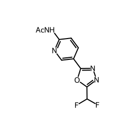 CC(=O)Nc1ccc(-c2nnc(C(F)F)o2)cn1